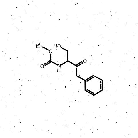 CC(C)(C)OC(=O)NC(CO)C(=O)Cc1ccccc1